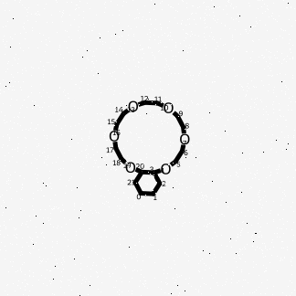 C1CCC2OCCOCCOCCOCCOCCOC2C1